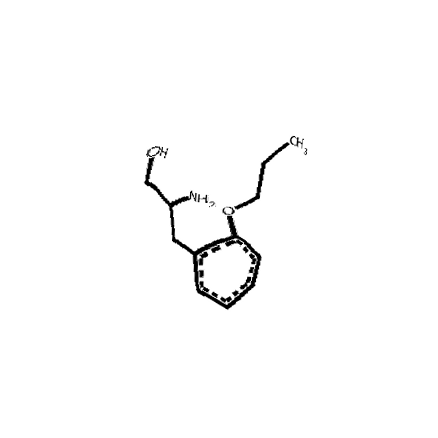 CCCOc1ccccc1CC(N)CO